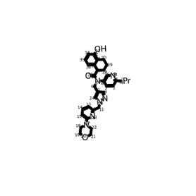 CC(C)c1ccc(N(Cc2cnn(Cc3cccc(N4CCOCC4)n3)c2)C(=O)C2CCCc3c(O)cccc32)cn1